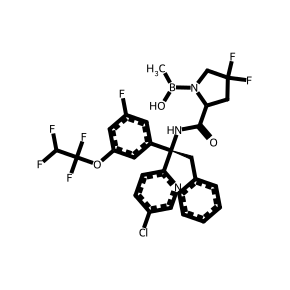 CB(O)N1CC(F)(F)CC1C(=O)N[C@@](Cc1ccccc1)(c1cc(F)cc(OC(F)(F)C(F)F)c1)c1ccc(Cl)cn1